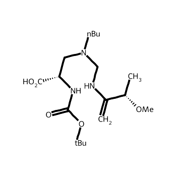 C=C(NCN(CCCC)C[C@H](NC(=O)OC(C)(C)C)C(=O)O)[C@H](C)OC